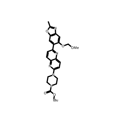 COCOc1cc2nc(C)oc2cc1-c1ccc2nc(N3CCN(C(=O)OC(C)(C)C)CC3)ccc2n1